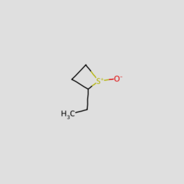 CCC1CC[S+]1[O-]